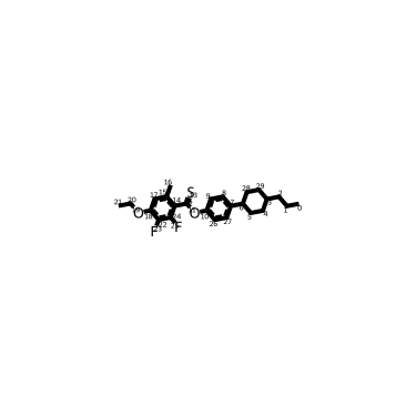 CCCC1CCC(c2ccc(OC(=S)c3c(C)cc(OCC)c(F)c3F)cc2)CC1